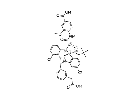 COc1cc(C(=O)O)ccc1NC(=O)[C@@H]1N[C@@H](CC(C)(C)C)[C@@]2(CN(Cc3cccc(CC(=O)O)c3)c3cc(Cl)ccc32)[C@H]1c1cccc(Cl)c1F